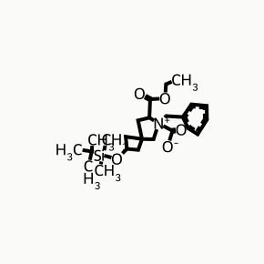 CCOC(=O)C1CC2(CC(O[Si](C)(C)C(C)(C)C)C2)C[N+]1(Cc1ccccc1)C(=O)[O-]